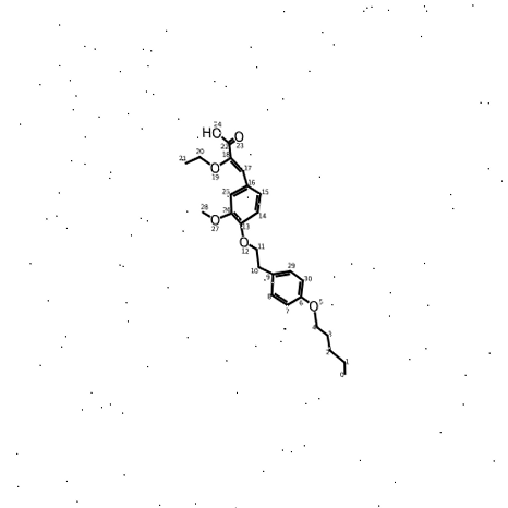 CCCCCOc1ccc(CCOc2ccc(/C=C(\OCC)C(=O)O)cc2OC)cc1